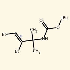 CC/C=C(\CC)C(C)(C)NC(=O)OC(C)(C)C